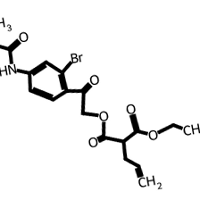 C=CCC(C(=O)OCC)C(=O)OCC(=O)c1ccc(NC(=O)OC)cc1Br